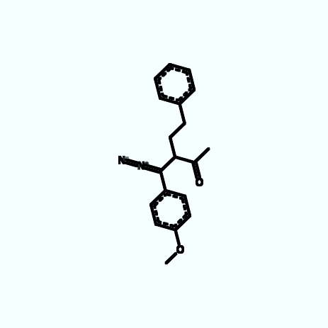 COc1ccc(C(=[N+]=[N-])C(CCc2ccccc2)C(C)=O)cc1